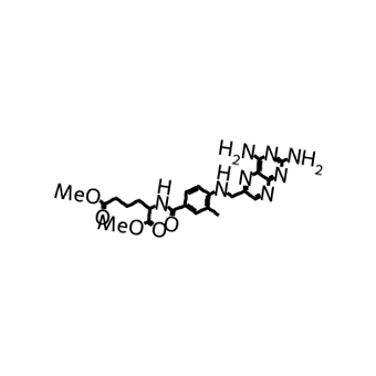 COC(=O)CCCC(NC(=O)c1ccc(NCc2cnc3nc(N)nc(N)c3n2)c(C)c1)C(=O)OC